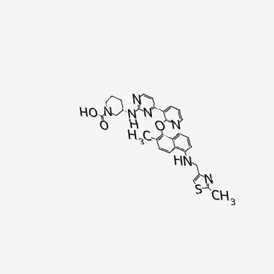 Cc1nc(CNc2cccc3c(Oc4ncccc4-c4ccnc(N[C@H]5CCCN(C(=O)O)C5)n4)c(C)ccc23)cs1